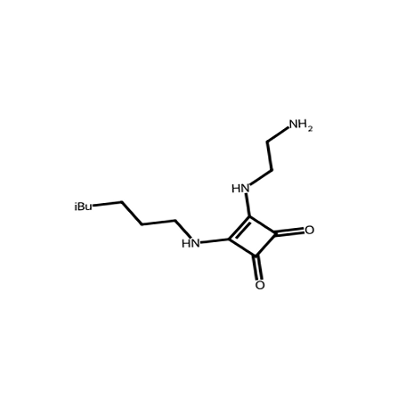 CCC(C)CCCNc1c(NCCN)c(=O)c1=O